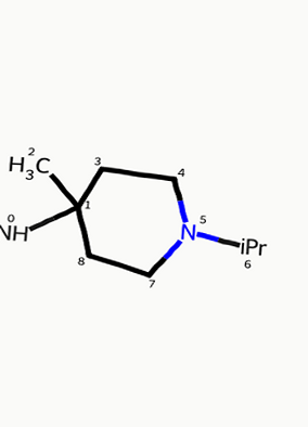 CC(=O)NC1(C)CCN(C(C)C)CC1